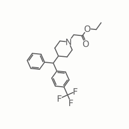 CCOC(=O)CN1CCC(C(c2ccccc2)c2ccc(C(F)(F)F)cc2)CC1